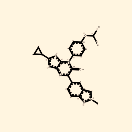 Cn1cc2cc(-c3nc4sc(C5CC5)nc4n(-c4ccc(OC(F)F)cc4)c3=O)ccc2n1